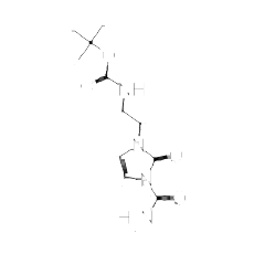 CC(C)(C)OC(=O)NCCn1ccn(C(N)=O)c1=O